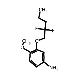 CCCC(F)(F)COc1cc(N)ccc1OC